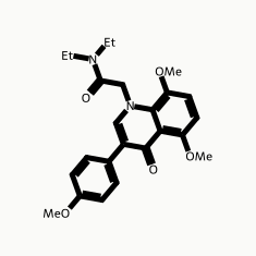 CCN(CC)C(=O)Cn1cc(-c2ccc(OC)cc2)c(=O)c2c(OC)ccc(OC)c21